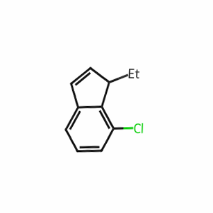 CCC1C=Cc2cccc(Cl)c21